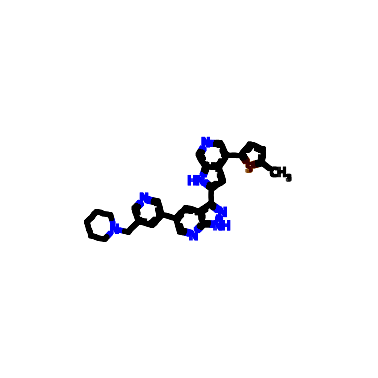 Cc1ccc(-c2cncc3[nH]c(-c4n[nH]c5ncc(-c6cncc(CN7CCCCC7)c6)cc45)cc23)s1